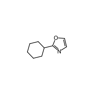 c1coc(C2CCCCC2)n1